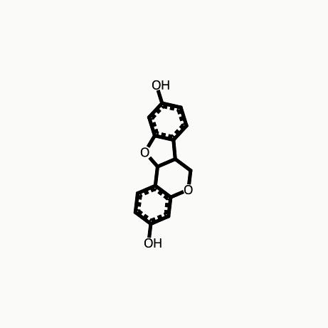 Oc1ccc2c(c1)OC1c3ccc(O)cc3OCC21